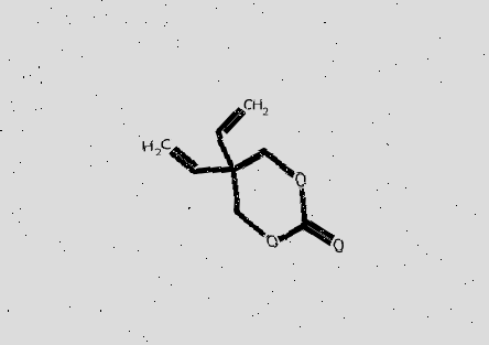 C=CC1(C=C)COC(=O)OC1